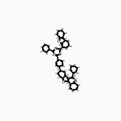 c1ccc(-c2nc(-c3ccc(-c4ccc5oc6c7ccccc7nc(-c7ccccc7)c6c5c4)cc3)nc(-c3cccc4c3oc3ccccc34)n2)cc1